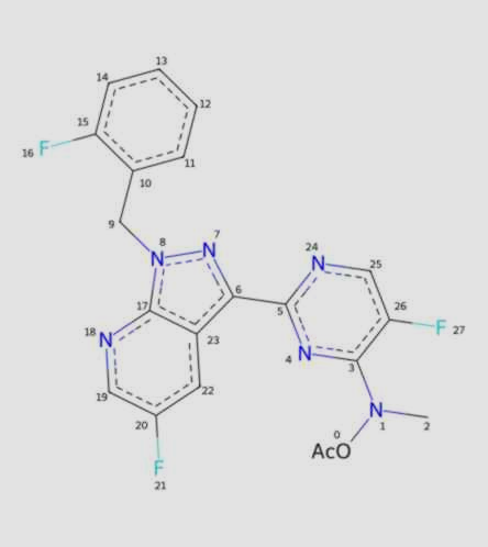 CC(=O)ON(C)c1nc(-c2nn(Cc3ccccc3F)c3ncc(F)cc23)ncc1F